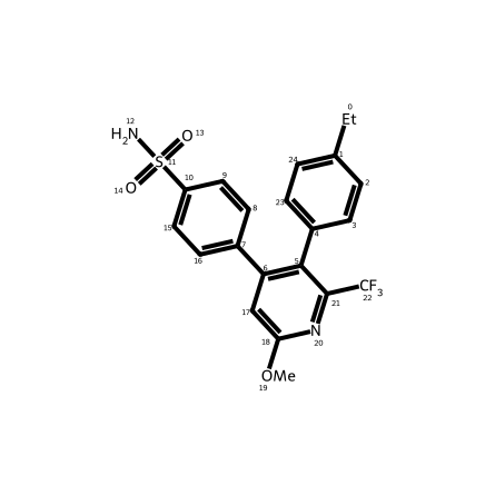 CCc1ccc(-c2c(-c3ccc(S(N)(=O)=O)cc3)cc(OC)nc2C(F)(F)F)cc1